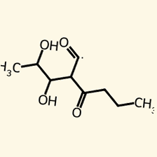 CCCC(=O)C([C]=O)C(O)C(C)O